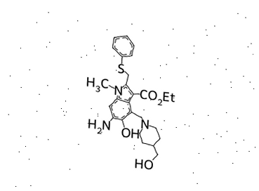 CCOC(=O)c1c(CSc2ccccc2)n(C)c2cc(N)c(O)c(CN3CCC(CO)CC3)c12